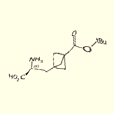 CC(C)(C)OC(=O)C12CC(C[C@H](N)C(=O)O)(C1)C2